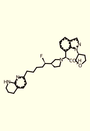 O=C(O)[C@H](c1cccc2cnn([C@H]3CCOC3)c12)N1CC[C@@H]([C@H](F)CCCCc2ccc3c(n2)NCCC3)C1